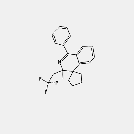 CC1(CC(F)(F)F)N=C(c2ccccc2)c2ccccc2C12CCCC2